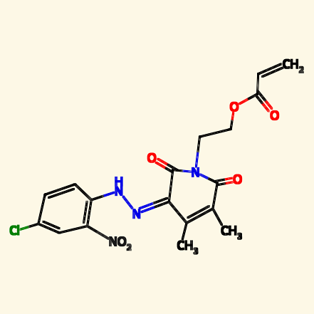 C=CC(=O)OCCN1C(=O)C(C)=C(C)/C(=N/Nc2ccc(Cl)cc2[N+](=O)[O-])C1=O